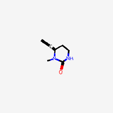 C=C=C1CCNC(=O)N1C